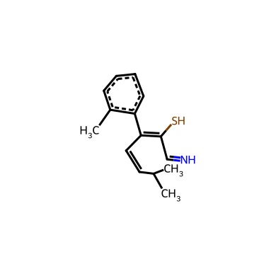 Cc1ccccc1C(/C=C\C(C)C)=C(\S)C=N